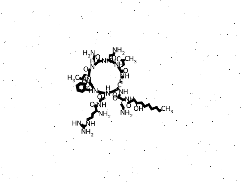 CCCCCCC[C@@H](O)CC(=O)N[C@H](CCN)C(=O)N[C@H]1CCNC(=O)[C@H](CC(C)C)NC(=O)[C@H](CCN)NC(=O)[C@H](CCN)NC(=O)[C@H](CC(C)C)NC(=O)[C@@H](Cc2ccccc2)NC(=O)[C@H](CCNC(=O)[C@@H](N)CCCNC(=N)N)NC1=O